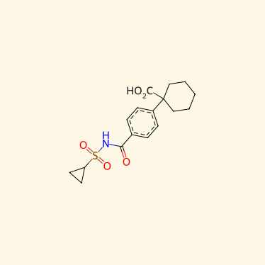 O=C(NS(=O)(=O)C1CC1)c1ccc(C2(C(=O)O)CCCCC2)cc1